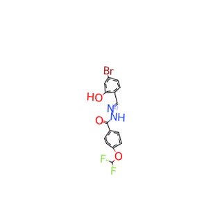 O=C(N/N=C/c1ccc(Br)cc1O)c1ccc(OC(F)F)cc1